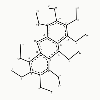 CCc1c(CC)c(CC)c2c(CC)c3c(CC)c(CC)c(CC)c(CC)c3cc2c1CC